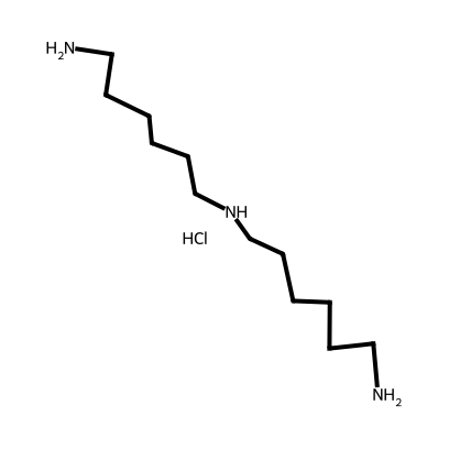 Cl.NCCCCCCNCCCCCCN